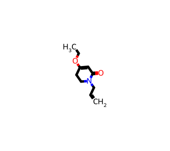 C=CCN1CCC(OCC)=CC1=O